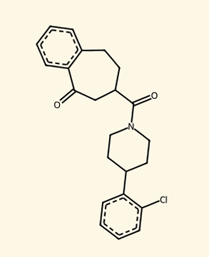 O=C1CC(C(=O)N2CCC(c3ccccc3Cl)CC2)CCc2ccccc21